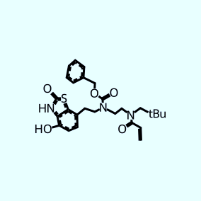 C=CC(=O)N(CCN(CCc1ccc(O)c2[nH]c(=O)sc12)C(=O)OCc1ccccc1)CC(C)(C)C